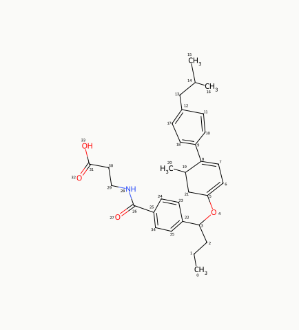 CCCC(OC1=CC=C(c2ccc(CC(C)C)cc2)C(C)C1)c1ccc(C(=O)NCCC(=O)O)cc1